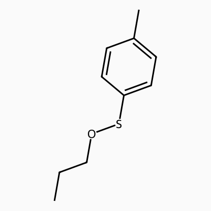 CCCOSc1ccc(C)cc1